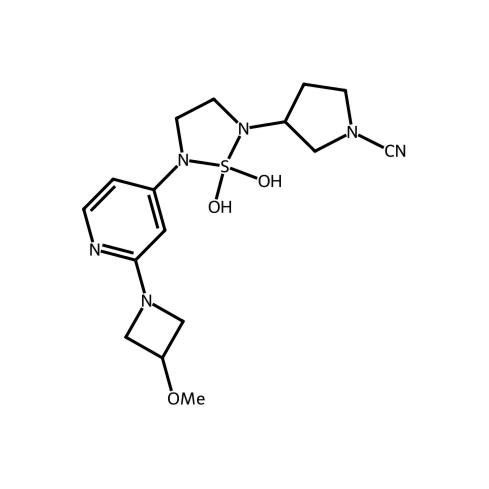 COC1CN(c2cc(N3CCN(C4CCN(C#N)C4)S3(O)O)ccn2)C1